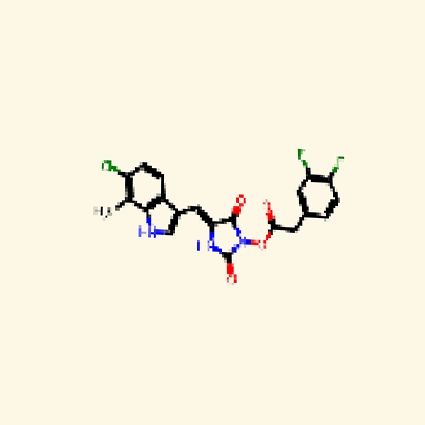 Cc1c(Cl)ccc2c(/C=C3\NC(=O)N(OC(=O)Cc4ccc(F)c(F)c4)C3=O)c[nH]c12